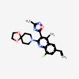 C=Cc1cc(F)c2nc(N3CCC4(CC3)OCCO4)c(-c3nc(C)no3)c(C)c2c1